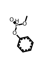 CO[PH](=O)Oc1ccccc1